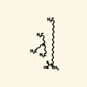 CCCCCCCCCCCCCCCCCCN(C)C(=S)S.CCCCN(CCCC)CCCC